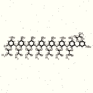 CCc1cc(C(C)(C)C)cc(Cc2cc(C(C)(C)C)cc(Cc3cc(C(C)(C)C)cc(Cc4cc(C(C)(C)C)cc(Cc5cc(C(C)(C)C)cc(Cc6cc(C(C)(C)C)cc(Cc7cc(C(C)(C)C)cc(Cc8cc(C(C)(C)C)cc(CC)c8OC(=O)C(C)Br)c7OC(=O)C(C)Br)c6OC(=O)C(C)Br)c5OC(=O)C(C)Br)c4OC(=O)C(C)Br)c3OC(=O)C(C)Br)c2OC(=O)C(C)Br)c1OC(=O)C(C)Br